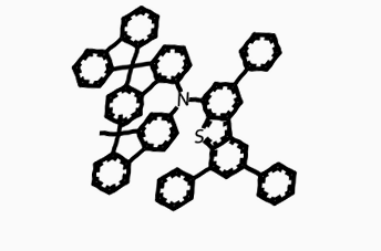 CC1(C)c2ccccc2-c2ccc(N(c3cccc4c3-c3ccccc3C43c4ccccc4-c4ccccc43)c3cc(-c4ccccc4)cc4c3sc3c(-c5ccccc5)cc(-c5ccccc5)cc34)cc21